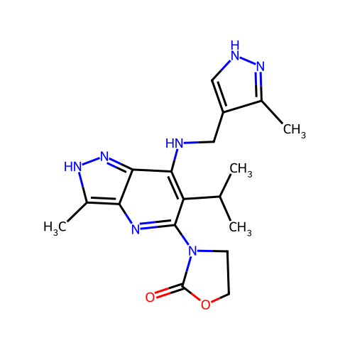 Cc1n[nH]cc1CNc1c(C(C)C)c(N2CCOC2=O)nc2c(C)[nH]nc12